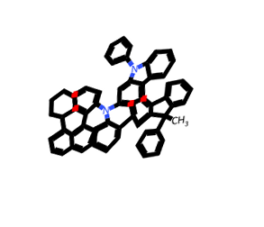 CC1(c2ccccc2)c2ccccc2-c2ccc(-c3ccccc3N(c3ccc4c5ccccc5n(-c5ccccc5)c4c3)c3ccccc3-c3cccc4cccc(C5CCCCC5)c34)cc21